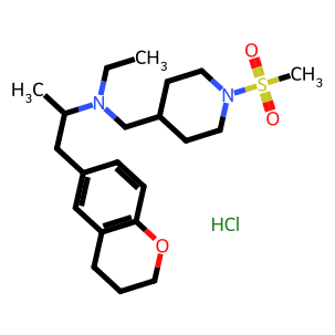 CCN(CC1CCN(S(C)(=O)=O)CC1)C(C)Cc1ccc2c(c1)CCCO2.Cl